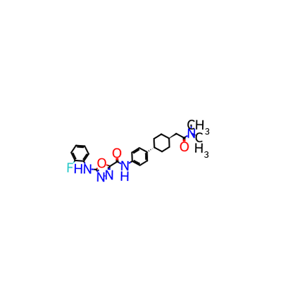 CN(C)C(=O)C[C@H]1CC[C@H](c2ccc(NC(=O)c3nnc(Nc4ccccc4F)o3)cc2)CC1